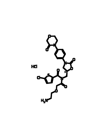 Cl.NCCOCC(=O)N(C[C@H]1CN(c2ccc(N3CCOCC3=O)cc2)C(=O)O1)C(=O)c1ccc(Cl)s1